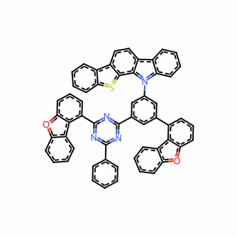 c1ccc(-c2nc(-c3cc(-c4cccc5oc6ccccc6c45)cc(-n4c5ccccc5c5ccc6c7ccccc7sc6c54)c3)nc(-c3cccc4oc5ccccc5c34)n2)cc1